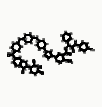 Nc1ncc(-c2cnn(C3CCN(CC4CCN(CC5CCN(C(=O)c6ccc7c(c6)CN(C6CCC(=O)NC6=O)C7=O)CC5)CC4)CC3)c2)nc1C(=O)O[C@@H](C(=O)Nc1ccc(F)cc1)c1ccccc1